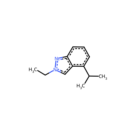 CCn1cc2c(C(C)C)cccc2n1